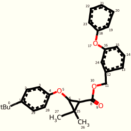 CC(C)(C)c1ccc(OC2C(C(=O)OCc3cccc(Oc4ccccc4)c3)C2(C)C)cc1